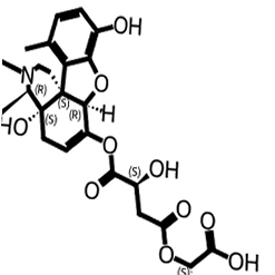 Cc1ccc(O)c2c1[C@]13CCN(C)[C@H](C)[C@]1(O)CC=C(OC(=O)[C@@H](O)CC(=O)O[C@@H](C)C(=O)O)[C@@H]3O2